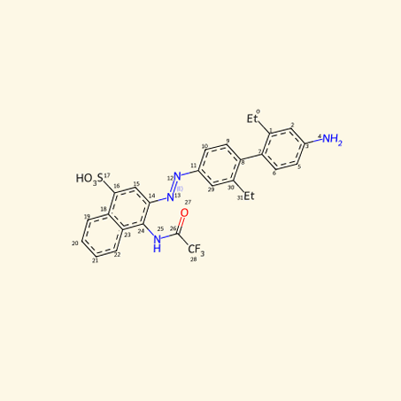 CCc1cc(N)ccc1-c1ccc(/N=N/c2cc(S(=O)(=O)O)c3ccccc3c2NC(=O)C(F)(F)F)cc1CC